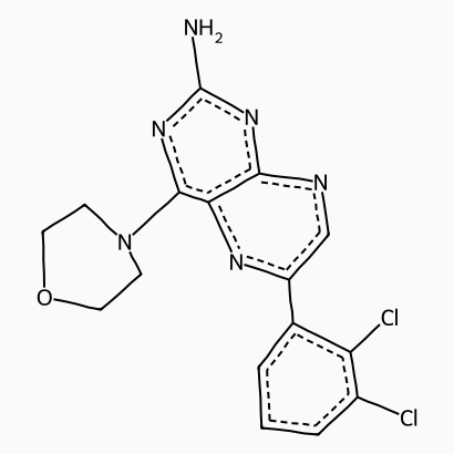 Nc1nc(N2CCOCC2)c2nc(-c3cccc(Cl)c3Cl)cnc2n1